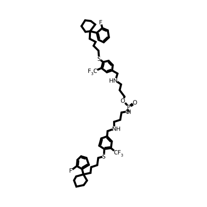 O=[PH](OCCCNCc1ccc(SCCCCC2(c3ccccc3F)CCCCC2)c(C(F)(F)F)c1)OCCCNCc1ccc(SCCCCC2(c3ccccc3F)CCCCC2)c(C(F)(F)F)c1